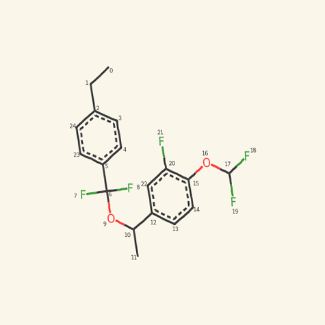 CCc1ccc(C(F)(F)OC(C)c2ccc(OC(F)F)c(F)c2)cc1